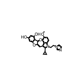 COc1ccc2c(c1)c(C=C1Oc3cc(O)cc(O)c3C1=O)c(C1CC1)n2CCn1ccnc1